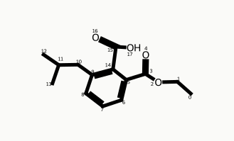 CCOC(=O)c1cccc(CC(C)C)c1C(=O)O